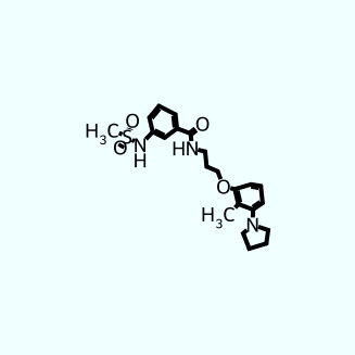 Cc1c(OCCCNC(=O)c2cccc(NS(C)(=O)=O)c2)cccc1N1CCCC1